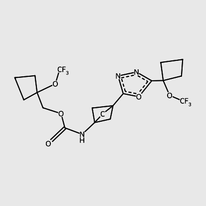 O=C(NC12CC(c3nnc(C4(OC(F)(F)F)CCC4)o3)(C1)C2)OCC1(OC(F)(F)F)CCC1